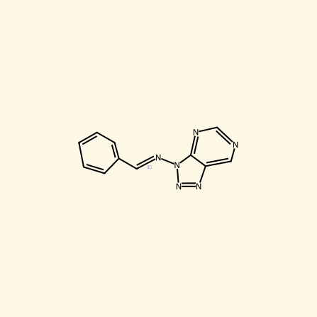 C(=N\n1nnc2cncnc21)/c1ccccc1